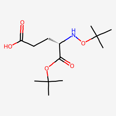 CC(C)(C)ON[C@@H](CCC(=O)O)C(=O)OC(C)(C)C